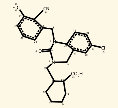 N#Cc1c(CN2C(=O)N(CC3CCCCC3C(=O)O)Cc3cc(Cl)ccc32)cccc1C(F)(F)F